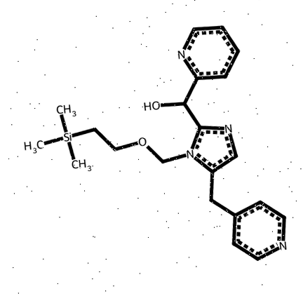 C[Si](C)(C)CCOCn1c(Cc2ccncc2)cnc1C(O)c1ccccn1